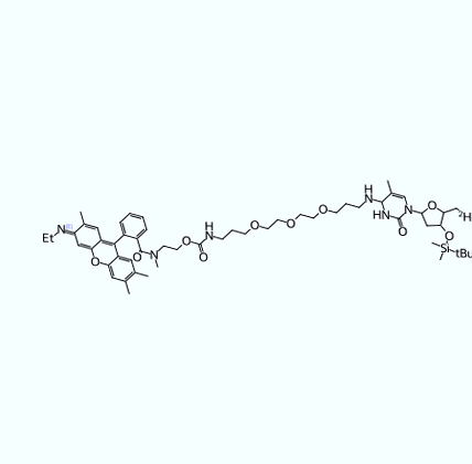 [2H]CC1OC(N2C=C(C)C(NCCCOCCOCCOCCCNC(=O)OCCN(C)C(=O)c3ccccc3-c3c4cc(C)/c(=N/CC)cc-4oc4cc(C)c(C)cc34)NC2=O)CC1O[Si](C)(C)C(C)(C)C